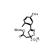 Cc1ccc(O)cc1C1=NOC(CC(=O)OC(C)(C)C)(C(=O)O)C1